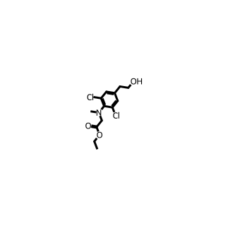 CCOC(=O)CN(C)c1c(Cl)cc(CCO)cc1Cl